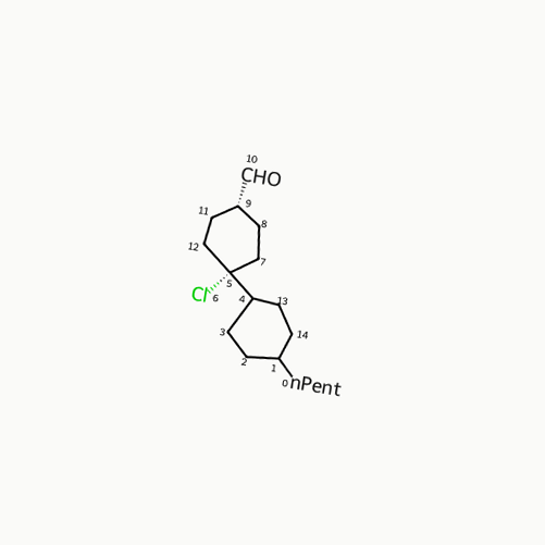 CCCCCC1CCC([C@]2(Cl)CC[C@@H](C=O)CC2)CC1